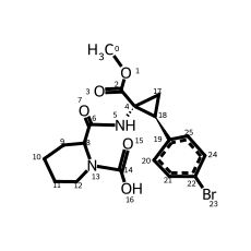 COC(=O)[C@@]1(NC(=O)C2CCCCN2C(=O)O)C[C@H]1c1ccc(Br)cc1